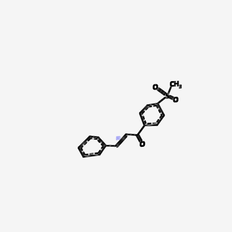 CS(=O)(=O)c1ccc(C(=O)/C=C/c2ccccc2)cc1